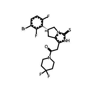 O=C(Cc1[nH]c(=S)n2c1C[C@H](c1c(F)ccc(Br)c1F)C2)N1CCC(F)(F)CC1